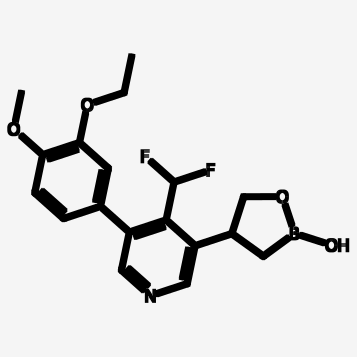 CCOc1cc(-c2cncc(C3COB(O)C3)c2C(F)F)ccc1OC